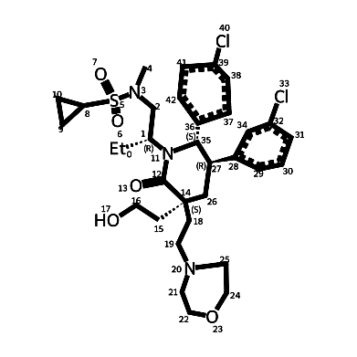 CC[C@H](CN(C)S(=O)(=O)C1CC1)N1C(=O)[C@](CCO)(CCN2CCOCC2)C[C@H](c2cccc(Cl)c2)[C@H]1c1ccc(Cl)cc1